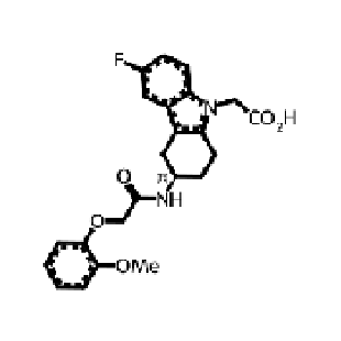 COc1ccccc1OCC(=O)N[C@@H]1CCc2c(c3cc(F)ccc3n2CC(=O)O)C1